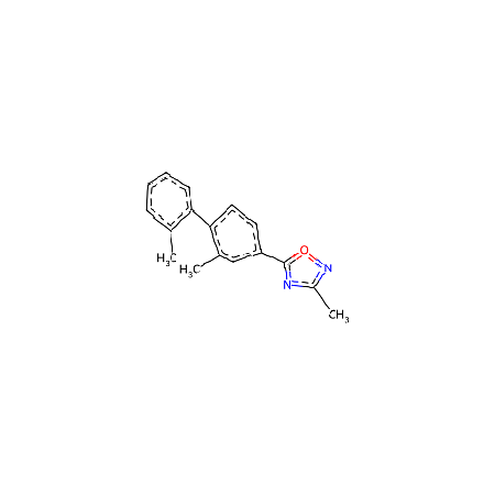 Cc1noc(-c2ccc(-c3ccccc3C)c(C)c2)n1